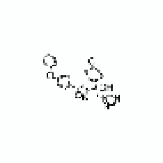 OC(Cn1cncn1)(C1=NOC(c2ccc(Oc3ccccc3)cc2)C1)c1ccc(Cl)cc1